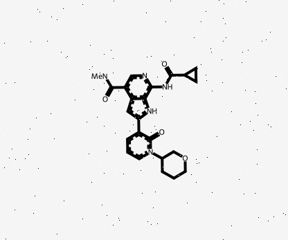 CNC(=O)c1cnc(NC(=O)C2CC2)c2[nH]c(-c3cccn(C4CCCOC4)c3=O)cc12